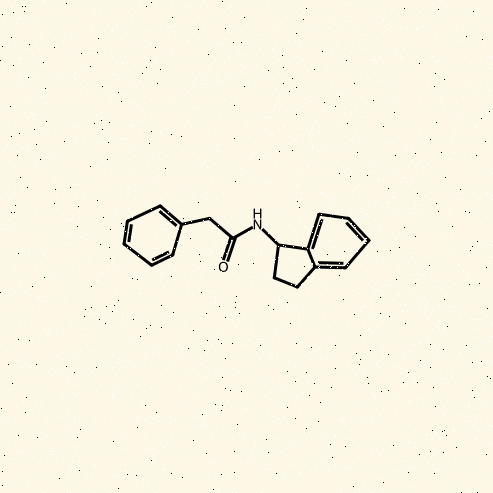 O=C(Cc1ccccc1)NC1CCc2ccccc21